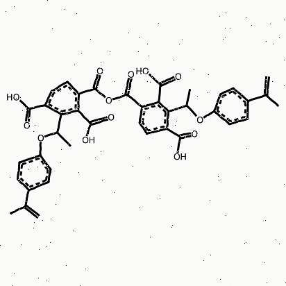 C=C(C)c1ccc(OC(C)c2c(C(=O)O)ccc(C(=O)OC(=O)c3ccc(C(=O)O)c(C(C)Oc4ccc(C(=C)C)cc4)c3C(=O)O)c2C(=O)O)cc1